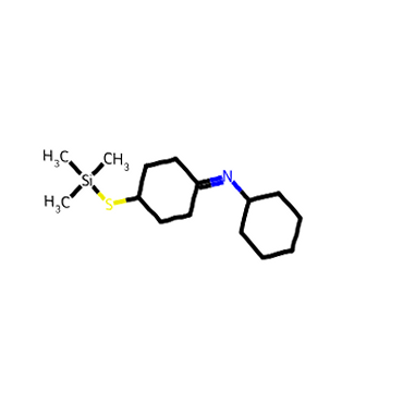 C[Si](C)(C)SC1CCC(=NC2CCCCC2)CC1